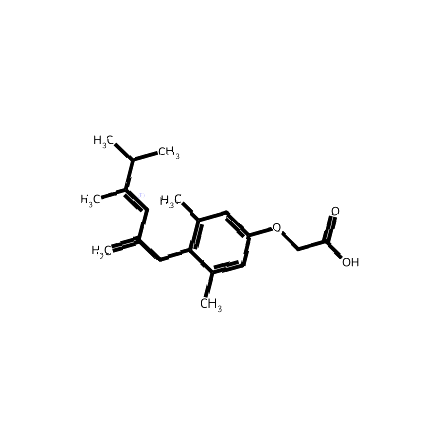 C=C(/C=C(\C)C(C)C)Cc1c(C)cc(OCC(=O)O)cc1C